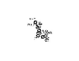 COc1ccc(CN(c2ncns2)S(=O)(=O)c2cc(F)c(Oc3ccc(Cl)cc3-c3ccc4c(c3)c(N(C(=O)OC(C)(C)C)C(=O)OC(C)(C)C)nn4C(=O)OC(C)(C)C)cc2F)c(OC)c1